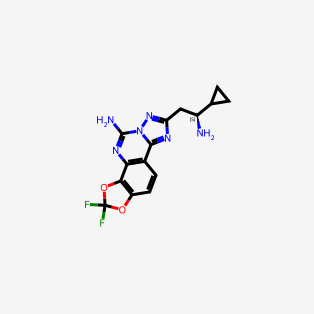 Nc1nc2c3c(ccc2c2nc(C[C@H](N)C4CC4)nn12)OC(F)(F)O3